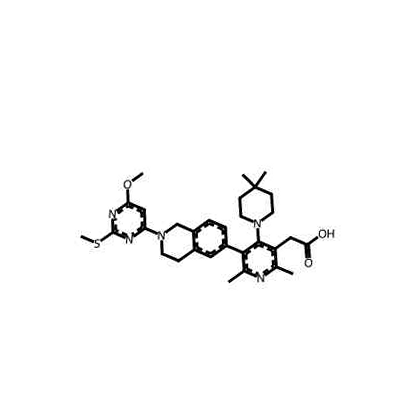 COc1cc(N2CCc3cc(-c4c(C)nc(C)c(CC(=O)O)c4N4CCC(C)(C)CC4)ccc3C2)nc(SC)n1